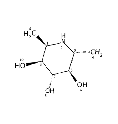 C[C@H]1N[C@H](C)[C@@H](O)[C@H](O)[C@H]1O